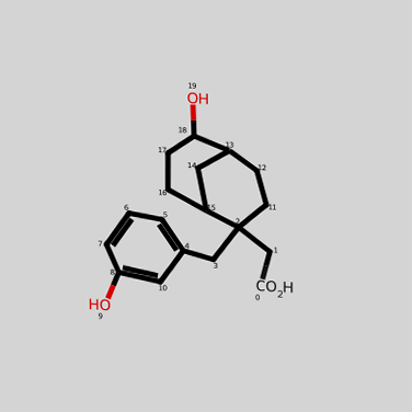 O=C(O)CC1(Cc2cccc(O)c2)CCC2CC1CCC2O